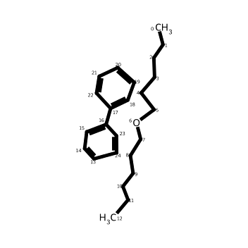 CCCCCCOCCCCCC.c1ccc(-c2ccccc2)cc1